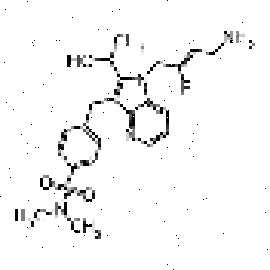 CC(O)c1c(Cc2ccc(S(=O)(=O)N(C)C)cc2)c2ncccc2n1CC(F)=CCN